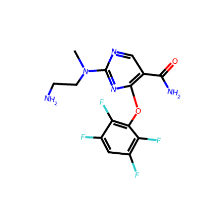 CN(CCN)c1ncc(C(N)=O)c(Oc2c(F)c(F)cc(F)c2F)n1